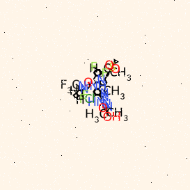 Cn1nc(Nc2nnc(C(C)(C)O)o2)c2c(Cl)ccc(-c3ccc(C#CC(C)(C)S(=O)(=O)C4CC4)nc3[C@H](Cc3cc(F)cc(F)c3)NC(=O)Cn3nc(C(F)(F)F)c4c3C(F)(F)[C@@H]3CC[C@H]43)c21